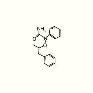 CC(Cc1ccccc1)ON(C(N)=O)c1ccccc1